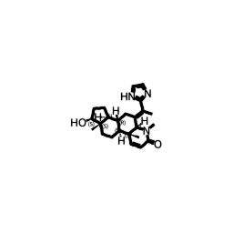 CC(=C1C[C@@H]2[C@H](CC[C@]3(C)[C@@H](O)CC[C@@H]23)[C@@]2(C)C=CC(=O)N(C)[C@H]12)c1ncc[nH]1